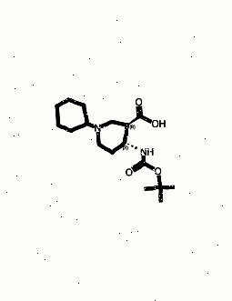 CC(C)(C)OC(=O)N[C@@H]1CCN(C2CCCCC2)C[C@H]1C(=O)O